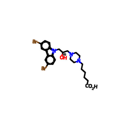 O=C(O)CCCCCN1CCN(C[C@@H](O)Cn2c3ccc(Br)cc3c3cc(Br)ccc32)CC1